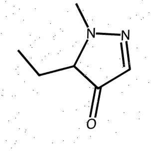 CCC1C(=O)C=NN1C